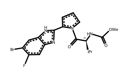 COC(=O)N[C@H](C(=O)n1cccc1-c1nc2cc(F)c(Br)cc2[nH]1)C(C)C